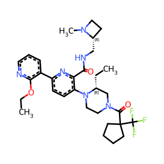 CCOc1ncccc1-c1ccc(N2CCN(C(=O)C3(C(F)(F)F)CCCC3)C[C@H]2CC)c(C(=O)NC[C@H]2CCN2C)n1